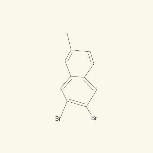 Cc1ccc2cc(Br)c(Br)cc2c1